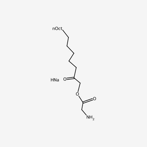 CCCCCCCCCCCCCC(=O)COC(=O)CN.[NaH]